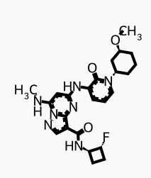 CNc1cc(Nc2cccn([C@H]3CCC[C@H](OC)C3)c2=O)nc2c(C(=O)N[C@@H]3CC[C@H]3F)cnn12